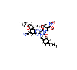 CC1=CC=C(Cn2c(=O)n(C[C@H](C)C(=O)N=O)c(=O)[nH]/c2=N\c2ccc(OC(C)C)c(C#N)c2)CC1